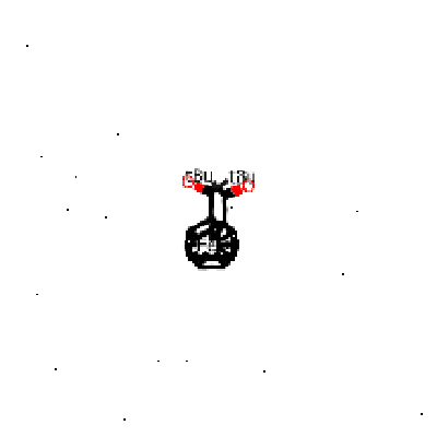 CC(C)(C)C(=O)[C]12[CH]3[CH]4[CH]5[CH]1[Fe]45321678[CH]2[CH]1[CH]6[C]7(C(=O)C(C)(C)C)[CH]28